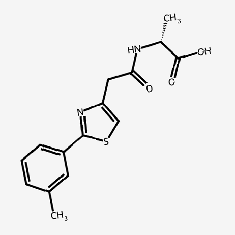 Cc1cccc(-c2nc(CC(=O)N[C@H](C)C(=O)O)cs2)c1